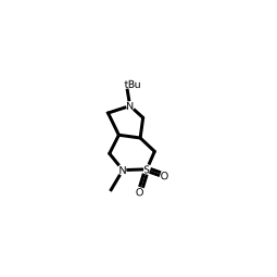 CN1CC2CN(C(C)(C)C)CC2CS1(=O)=O